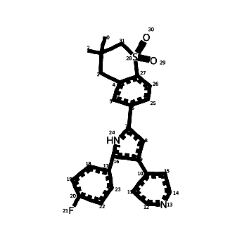 CC1(C)Cc2cc(-c3cc(-c4ccncc4)c(-c4ccc(F)cc4)[nH]3)ccc2S(=O)(=O)C1